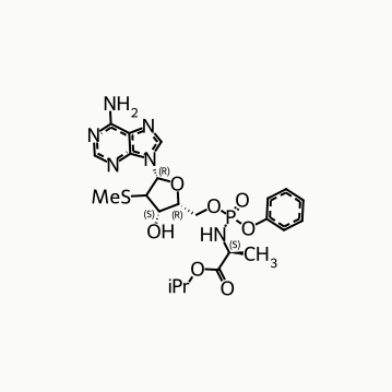 CSC1[C@@H](O)[C@@H](COP(=O)(N[C@@H](C)C(=O)OC(C)C)Oc2ccccc2)O[C@H]1n1cnc2c(N)ncnc21